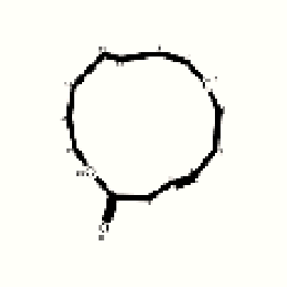 O=C1C/C=C/CCCCCCCCCCO1